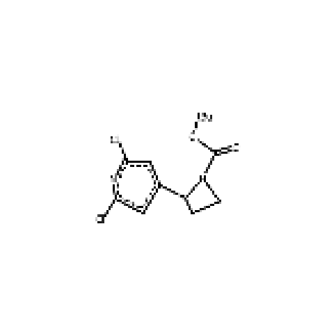 CC(C)(C)OC(=O)N1CCC1c1cc(Cl)nc(Cl)c1